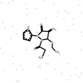 C=C1C(=O)N(c2ccc[nH]2)N(C(=O)CN)C1OCC